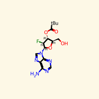 CC(C)(C)C(=O)O[C@H]1[C@H](F)[C@H](n2cnc3c(N)ncnc32)O[C@@H]1CO